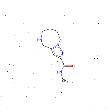 CNC(=O)c1cc2n(n1)CCCCNC2